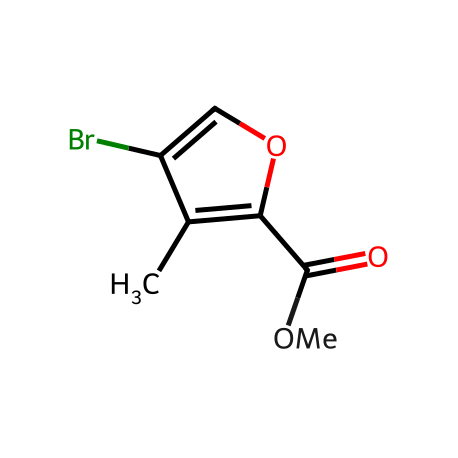 COC(=O)c1occ(Br)c1C